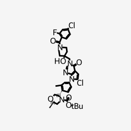 Cc1cc(-n2c(Cl)cc3c(=O)n(CC4(O)CCN(C(=O)c5ccc(Cl)cc5F)CC4)cnc32)ccc1[C@H]1CO[C@H](C)CN1C(=O)OC(C)(C)C